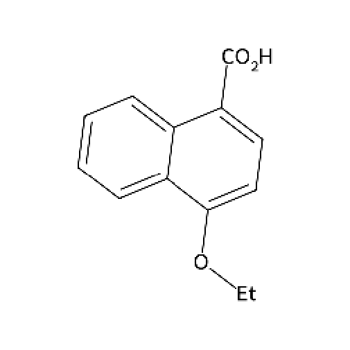 CCOc1ccc(C(=O)O)c2ccccc12